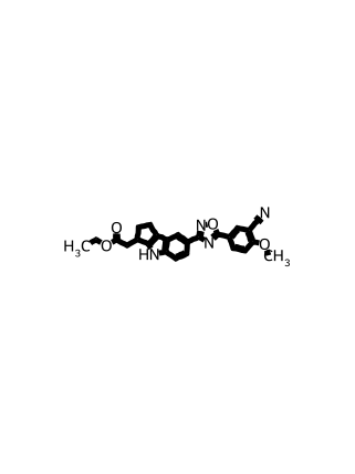 CCOC(=O)CC1CCc2c1[nH]c1ccc(-c3noc(-c4ccc(OC)c(C#N)c4)n3)cc21